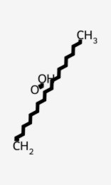 C=CCCCCCCCCCCCCCCCCCC.O=CO